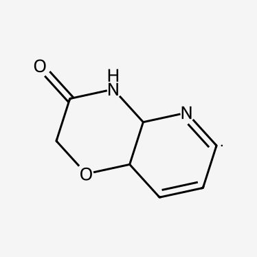 O=C1COC2C=C[C]=NC2N1